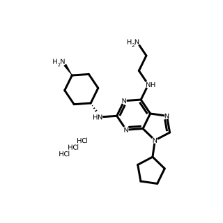 Cl.Cl.Cl.NCCNc1nc(N[C@H]2CC[C@H](N)CC2)nc2c1ncn2C1CCCC1